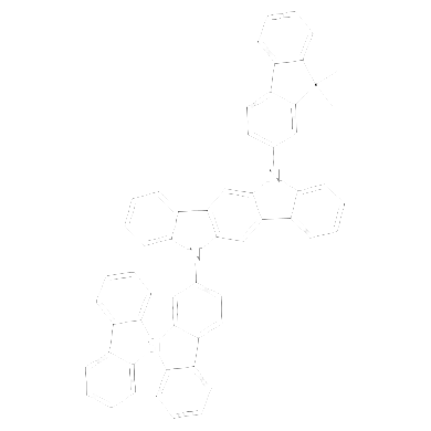 CC1(C)c2ccccc2-c2ccc(-n3c4ccccc4c4cc5c(cc43)c3ccccc3n5-c3ccc4c(c3)[Si]3(c5ccccc5-c5ccccc53)c3ccccc3-4)cc21